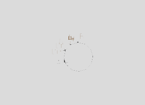 BrC1(Br)CCCCCCCCCC(Br)(Br)C1(Br)Br.[AlH3]